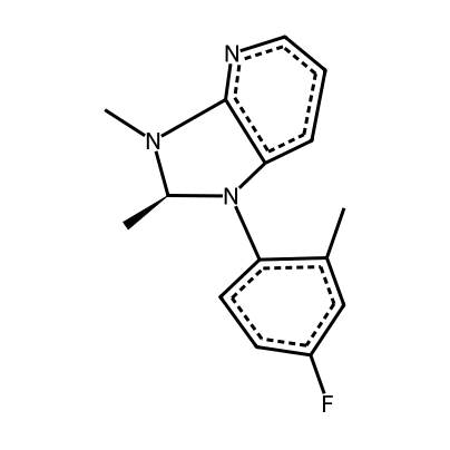 Cc1cc(F)ccc1N1c2cccnc2N(C)[C@@H]1C